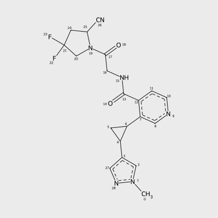 Cn1cc(C2CC2c2cnccc2C(=O)NCC(=O)N2CC(F)(F)CC2C#N)cn1